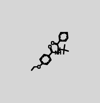 CCOc1ccc(C(=O)NN(C(=O)c2ccccc2)C(C)(C)C)cc1